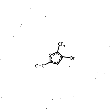 O=Cc1cc(Br)c(C(F)(F)F)s1